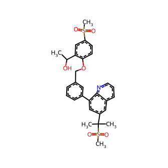 CC(O)c1cc(S(C)(=O)=O)ccc1OCc1cccc(-c2cc(C(C)(C)S(C)(=O)=O)cc3cccnc23)c1